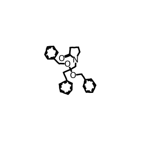 O=C1CCCN1CC(Cc1ccccc1)(OCc1ccccc1)OCc1ccccc1